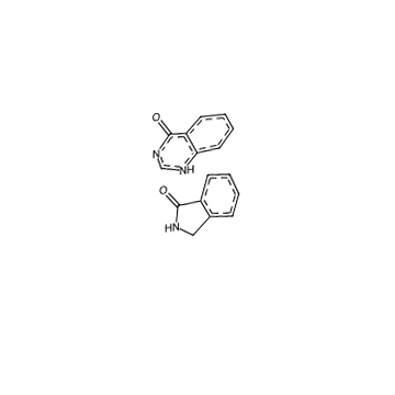 O=C1NCc2ccccc21.O=c1nc[nH]c2ccccc12